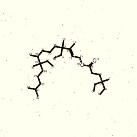 CCC(C)(CC)CCC(=O)OC/C=C(\C)C(C)(CC)CCCC(C)C(C)(CC)CCCC(C)C